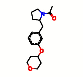 CC(=O)N1CCCC1Cc1cccc(OC2CCOCC2)c1